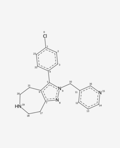 Clc1ccc(-c2c3c(nn2Cc2cccnc2)CCNCC3)cc1